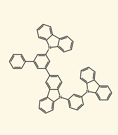 c1ccc(-c2cc(-c3ccc4c(c3)c3ccccc3n4-c3cccc(-n4c5ccccc5c5ccccc54)c3)cc(-n3c4ccccc4c4ccccc43)c2)cc1